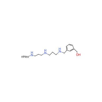 CCCCCCNCCCNCCCNCc1cccc(CO)c1